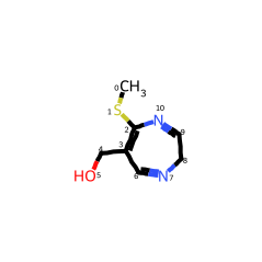 CSC1=C(CO)C=NCC=N1